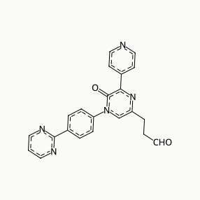 O=CCCc1cn(-c2ccc(-c3ncccn3)cc2)c(=O)c(-c2ccncc2)n1